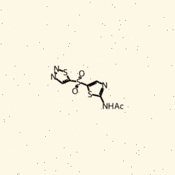 CC(=O)Nc1ncc(S(=O)(=O)c2cnns2)s1